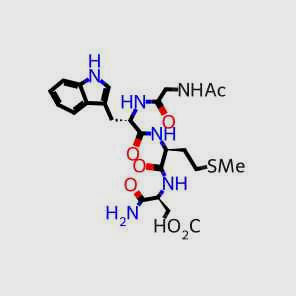 CSCC[C@H](NC(=O)[C@H](Cc1c[nH]c2ccccc12)NC(=O)CNC(C)=O)C(=O)N[C@@H](CC(=O)O)C(N)=O